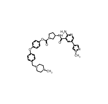 CN1CCN(Cc2ccc(Oc3ccc(OC(=O)N4CC[C@@H](NC(=O)c5cc(-c6cnn(C)c6)cnc5N)C4)cc3)cc2)CC1